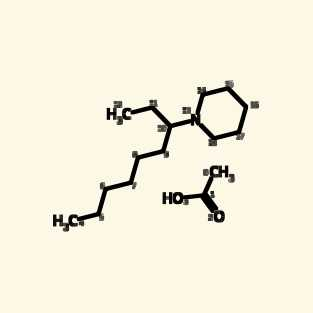 CC(=O)O.CCCCCCC(CC)N1CCCCC1